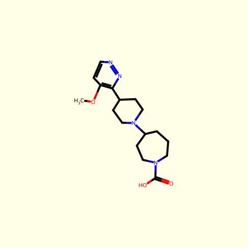 COc1ccnnc1C1CCN(C2CCCN(C(=O)O)CC2)CC1